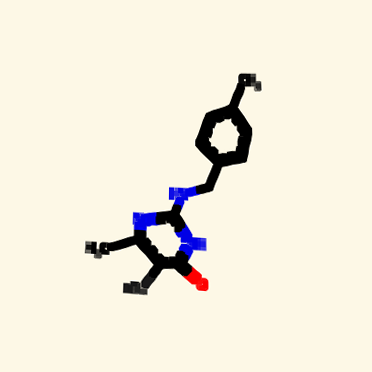 CCCCc1c(C)nc(NCc2ccc(C)cc2)[nH]c1=O